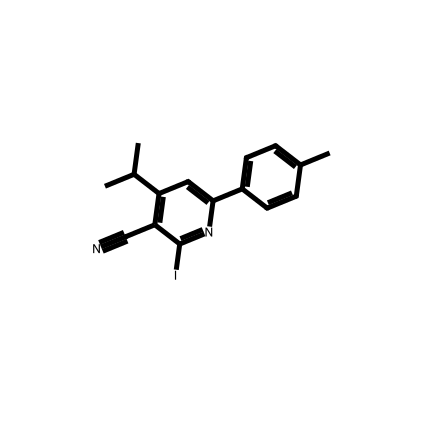 Cc1ccc(-c2cc(C(C)C)c(C#N)c(I)n2)cc1